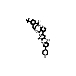 CN1CCC(c2ccc(Nc3cc(-c4ccnc5c4CO/C4=C/c6cc(C(C)(C)C)ccc6C(=O)N5CC4)nn(C)c3=O)nc2)CC1